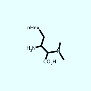 CCCCCCCC(N)C(C(=O)O)N(C)C